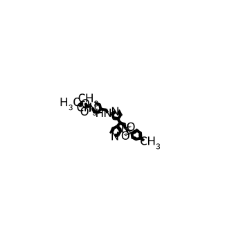 Cc1ccc(S(=O)(=O)n2cc(-c3ccnc(NCC4CCN(C(=O)OC(C)(C)C)CC4)c3)c3ccncc32)cc1